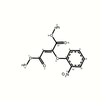 CCCOC(=O)/C=C(\Oc1ccccc1[N+](=O)[O-])C(=O)OCCC